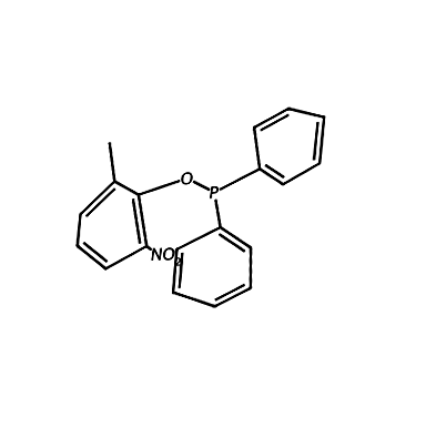 Cc1cccc([N+](=O)[O-])c1OP(c1ccccc1)c1ccccc1